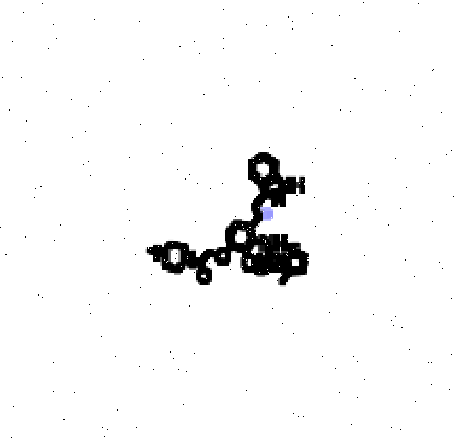 COc1c(OCC(=O)N2CCN(C)CC2)ccc(/C=C/c2n[nH]c3ccccc23)c1NC(=O)c1sccc1C